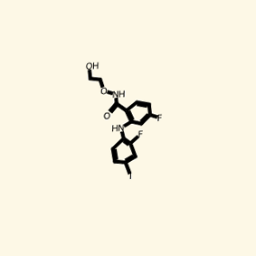 O=C(NOCCO)c1ccc(F)cc1Nc1ccc(I)cc1F